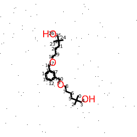 CC(C)(CO)CCCCOCc1cccc(COCCCCC(C)(C)CO)c1